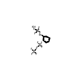 Brc1ccccc1.F[B-](F)(F)F.F[B-](F)(F)F.F[B-](F)(F)F.[KH]